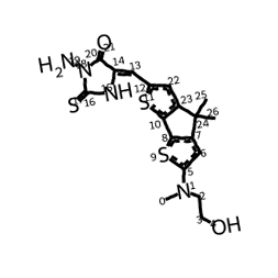 CN(CCO)c1cc2c(s1)-c1sc(/C=C3\NC(=S)N(N)C3=O)cc1C2(C)C